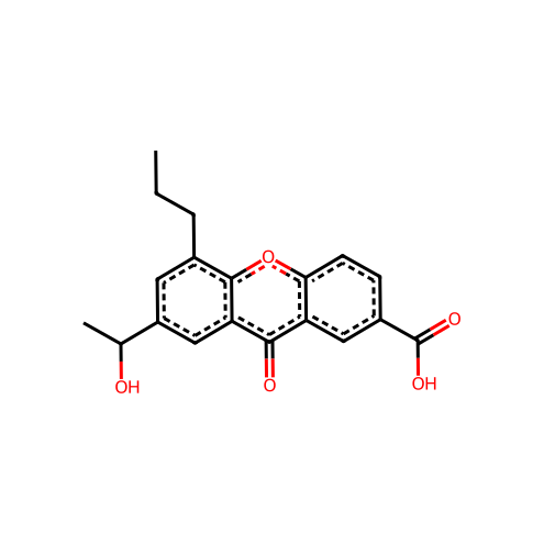 CCCc1cc(C(C)O)cc2c(=O)c3cc(C(=O)O)ccc3oc12